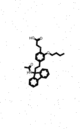 CCCCOc1cc(CCC2(NC(C)=O)c3ccccc3-c3ccccc32)ccc1CCC(=O)O